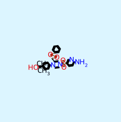 CC(C)(O)c1ccc(N2CCN(S(=O)(=O)c3ccc(N)nc3)C[C@@H]2CS(=O)(=O)c2ccccc2)cc1